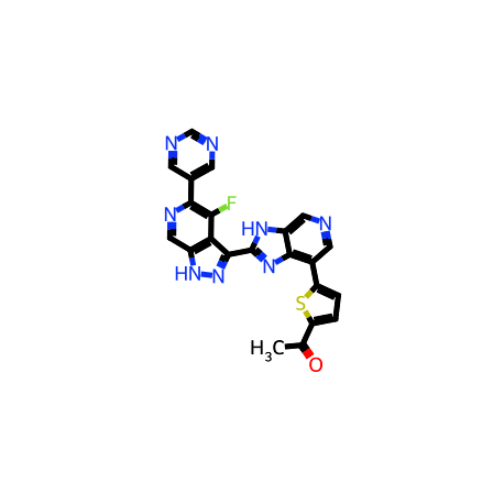 CC(=O)c1ccc(-c2cncc3[nH]c(-c4n[nH]c5cnc(-c6cncnc6)c(F)c45)nc23)s1